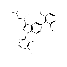 CCc1cccc(CC)c1-c1cc2c(C(O)CC(C)C)cn(-c3ncnc(OC)c3C)c2cn1